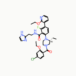 CCOc1cc(Cl)ccc1C(=O)N1CCN(c2ccc(-c3cccnc3OCC)c(F)c2C(=O)NCCc2ncc[nH]2)[C@H](CC)C1